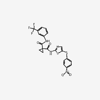 O=C(Nc1cccc(C(F)(F)F)c1)C1(C(=O)Nc2ncc(Sc3ccc([N+](=O)[O-])cc3)s2)CC1